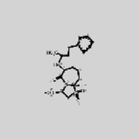 O=C(O)C(CCc1ccccc1)N[C@H]1CCC[C@H]2N(C1=O)[C@H](C(=O)O)CS2(=O)=O